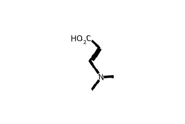 CN(C)C=CC(=O)O